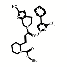 CCn1cc(-c2ccccc2[C@@H]2CN(C(=O)/C=C/C3CCCCN3C(=O)OC(C)(C)C)Cc3sc(C#N)cc32)c(C(F)(F)F)n1